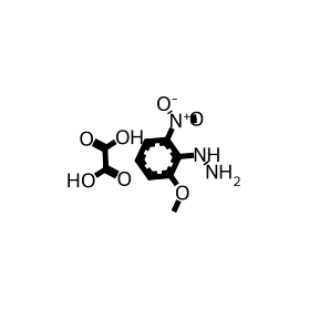 COc1cccc([N+](=O)[O-])c1NN.O=C(O)C(=O)O